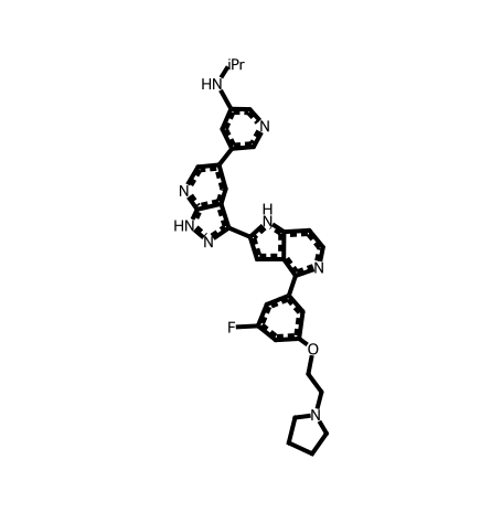 CC(C)Nc1cncc(-c2cnc3[nH]nc(-c4cc5c(-c6cc(F)cc(OCCN7CCCC7)c6)nccc5[nH]4)c3c2)c1